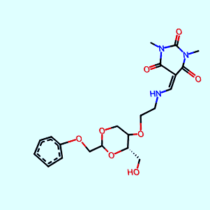 CN1C(=O)C(=CNCCOC2COC(COc3ccccc3)O[C@H]2CO)C(=O)N(C)C1=O